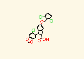 O=C(O)C1Cc2cc(OCc3c(Cl)cccc3Cl)ccc2C1c1cc2c(cc1Cl)OCO2